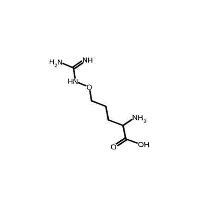 N=C(N)NOCCCC(N)C(=O)O